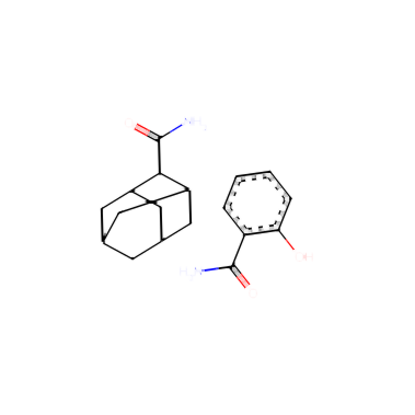 NC(=O)C1C2CC3CC(C2)CC1C3.NC(=O)c1ccccc1O